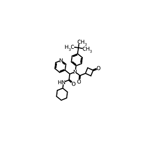 CC(C)(C)c1ccc(N(C(=O)C2CC(=O)C2)C(C(=O)NC2CCCCC2)c2cccnc2)cc1